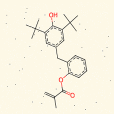 C=C(C)C(=O)Oc1ccccc1Cc1cc(C(C)(C)C)c(O)c(C(C)(C)C)c1